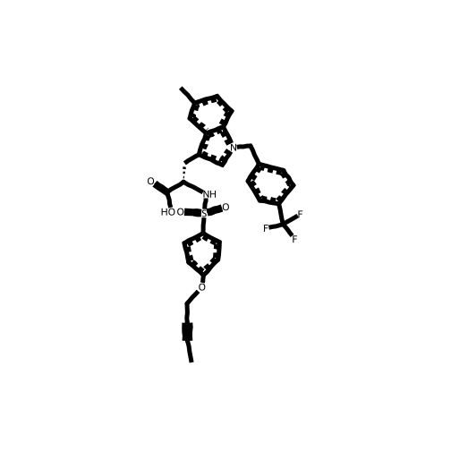 CC#CCOc1ccc(S(=O)(=O)N[C@@H](Cc2cn(Cc3ccc(C(F)(F)F)cc3)c3ccc(C)cc23)C(=O)O)cc1